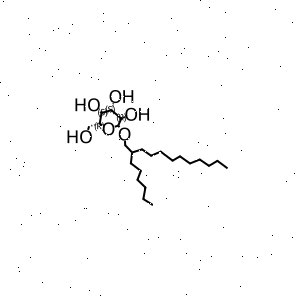 CCCCCCCCCCC(CCCCCC)COC1O[C@H](CO)[C@@H](O)[C@H](O)[C@H]1O